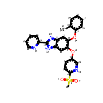 CS(=O)(=O)c1ccc(Oc2cc3[nH]c(-c4ccccn4)nc3cc2Oc2ccccc2C#N)cn1